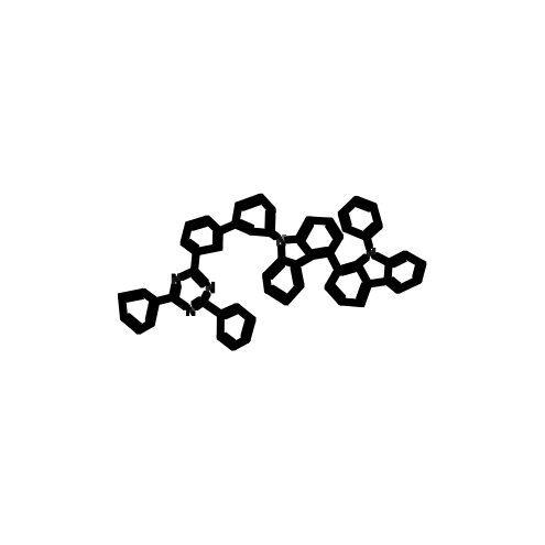 c1ccc(-c2nc(-c3ccccc3)nc(-c3cccc(-c4cccc(-n5c6ccccc6c6c(-c7cccc8c9ccccc9n(-c9ccccc9)c78)cccc65)c4)c3)n2)cc1